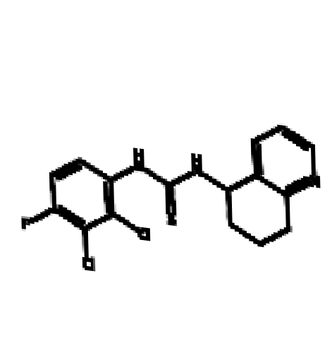 Fc1ccc(NC(=S)NC2CCCc3ncccc32)c(Cl)c1Cl